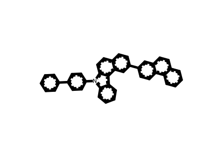 c1ccc(-c2ccc(-n3c4ccccc4c4c5cc(-c6ccc7c(ccc8ccccc87)c6)ccc5ccc43)cc2)cc1